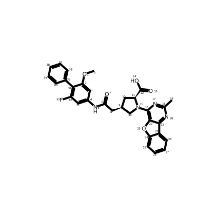 COc1cc(NC(=O)C[C@H]2C[C@@H](C(=O)O)N(c3nc(C)nc4c3oc3ccccc34)C2)cc(F)c1-c1ccccc1